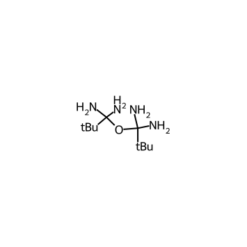 CC(C)(C)C(N)(N)OC(N)(N)C(C)(C)C